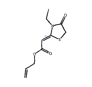 C=CCOC(=O)/C=C1\SCC(=O)N1CC